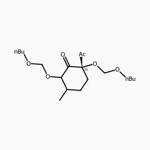 CCCCOCOC1C(=O)[C@@](OCOCCCC)(C(C)=O)CCC1C